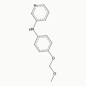 COCOc1ccc(Nc2cccnc2)cc1